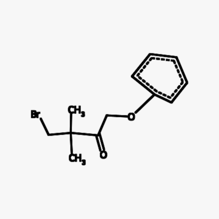 CC(C)(CBr)C(=O)COc1ccccc1